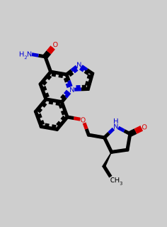 CC[C@@H]1CC(=O)NC1COc1cccc2cc(C(N)=O)c3nccn3c12